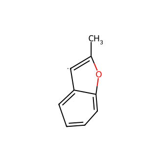 Cc1[c]c2ccccc2o1